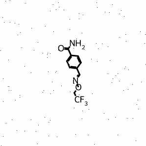 NC(=O)c1ccc(C=NOCC(F)(F)F)cc1